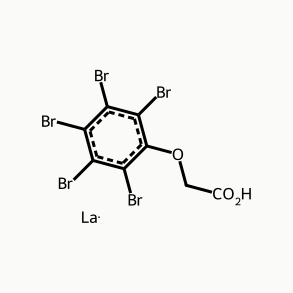 O=C(O)COc1c(Br)c(Br)c(Br)c(Br)c1Br.[La]